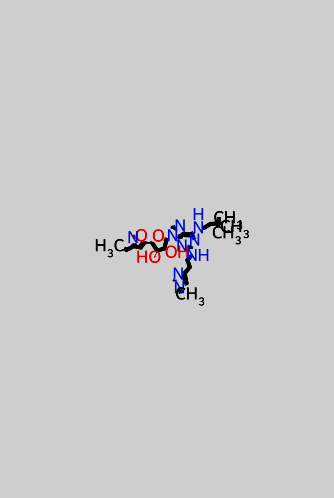 CCc1cc([C@H]2O[C@@H](n3cnc4c(NCCC(C)(C)C)nc(NCCc5cn(C)cn5)nc43)[C@H](O)[C@@H]2O)on1